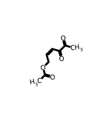 CC(=O)OC/C=C\C(=O)C(C)=O